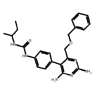 CCC(C)NC(=O)Nc1ccc(-c2c(N)nc(N)nc2COCc2ccccc2)cc1